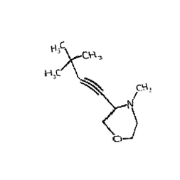 CN1CCOCC1C#CC(C)(C)C